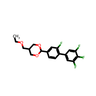 CCOCC1COC(c2ccc(-c3cc(F)c(F)c(F)c3)c(F)c2)OC1